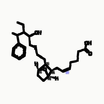 CCC(C(O)CSCC[C@H]1[C@@H](C/C=C\CCCC(=O)O)[C@H]2CC[C@@H]1O2)C(C)c1ccccc1